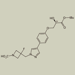 CC(C)(C)OC(=O)[C@H](O)COc1ccc(-c2cnn(CC3(F)CN(C(=O)O)C3)c2)cc1